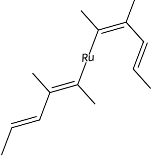 CC=CC(C)=[C](C)[Ru][C](C)=C(C)C=CC